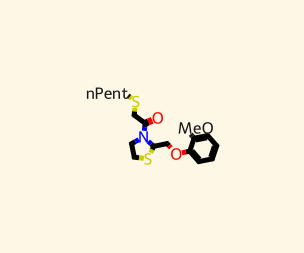 CCCCCSCC(=O)N1CCSC1COc1ccccc1OC